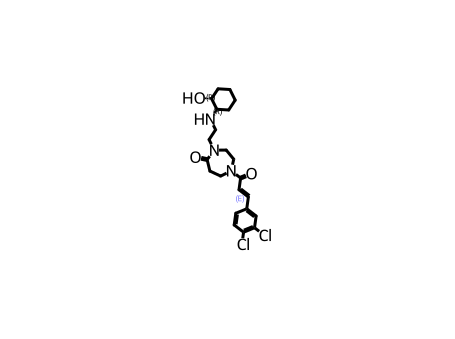 O=C(/C=C/c1ccc(Cl)c(Cl)c1)N1CCC(=O)N(CCN[C@@H]2CCCC[C@H]2O)CC1